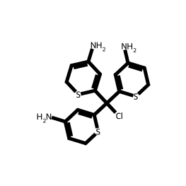 NC1=CCSC(C(Cl)(C2=CC(N)=CCS2)C2=CC(N)=CCS2)=C1